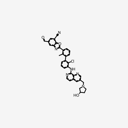 Cc1c(-c2nc3cc(C=O)cc(C#N)c3o2)cccc1-c1cccc(Nc2nccc3cc(CN4CCC(O)C4)cnc23)c1Cl